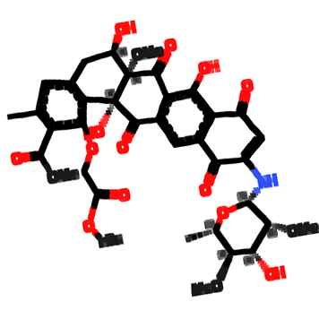 CCCCOC(=O)COc1c(C(=O)OC)c(C)cc2c1[C@]1(O)C(=O)c3cc4c(c(O)c3C(=O)[C@]1(OC)[C@H](O)C2)C(=O)C=C(N[C@H]1O[C@@H](C)[C@H](OC)[C@@H](O)[C@H]1OC)C4=O